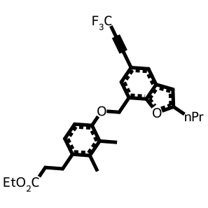 CCCc1cc2cc(C#CC(F)(F)F)cc(COc3ccc(CCC(=O)OCC)c(C)c3C)c2o1